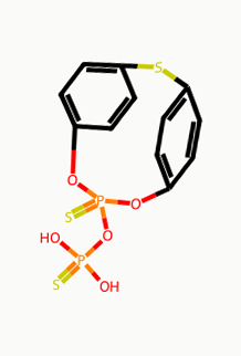 OP(O)(=S)OP1(=S)Oc2ccc(cc2)Sc2ccc(cc2)O1